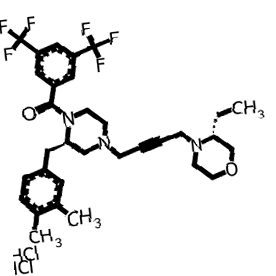 CC[C@@H]1COCCN1CC#CCN1CCN(C(=O)c2cc(C(F)(F)F)cc(C(F)(F)F)c2)[C@H](Cc2ccc(C)c(C)c2)C1.Cl.Cl